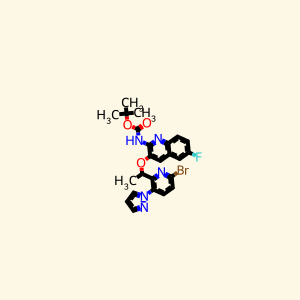 CC(Oc1cc2cc(F)ccc2nc1NC(=O)OC(C)(C)C)c1nc(Br)ccc1-n1cccn1